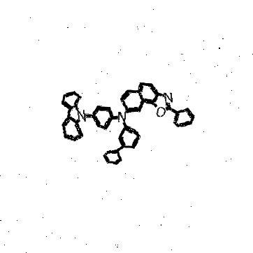 c1ccc(-c2cccc(N(c3ccc(-n4c5ccccc5c5ccccc54)cc3)c3ccc4ccc5nc(-c6ccccc6)oc5c4c3)c2)cc1